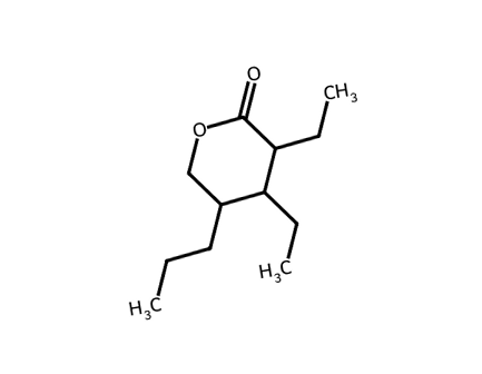 CCCC1COC(=O)C(CC)C1CC